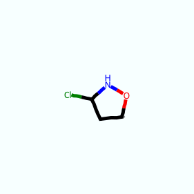 ClC1C[CH]ON1